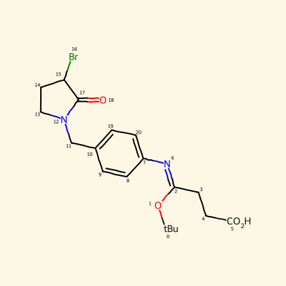 CC(C)(C)OC(CCC(=O)O)=Nc1ccc(CN2CCC(Br)C2=O)cc1